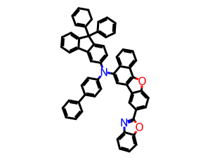 C1=CCCC(C2(c3ccccc3)c3ccccc3-c3cc(N(c4ccc(-c5ccccc5)cc4)c4cc5c6cc(-c7nc8ccccc8o7)ccc6oc5c5ccccc45)ccc32)=C1